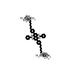 C[Si](C)(C)O[Si](C)(C)CCCCCCc1ccc(-c2cc3c4c(c(-c5ccc(CCCCCC[Si](C)(C)O[Si](C)(C)C)cc5)cc5c4c2N=C(c2ccccc2)S5)N=C(c2ccccc2)S3)cc1